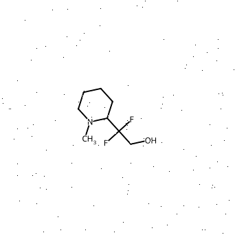 CN1CCCCC1C(F)(F)CO